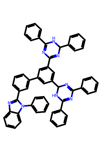 c1ccc(C2=NC(c3cc(C4=NC(c5ccccc5)NC(c5ccccc5)=N4)cc(-c4cccc(-c5nc6ccccc6n5-c5ccccc5)c4)c3)NC(c3ccccc3)=N2)cc1